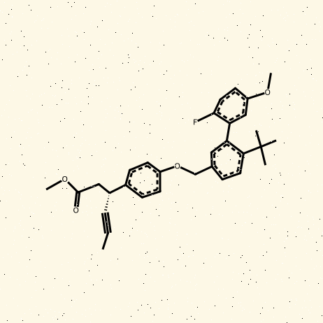 CC#C[C@H](CC(=O)OC)c1ccc(OCc2ccc(C(C)(C)C)c(-c3cc(OC)ccc3F)c2)cc1